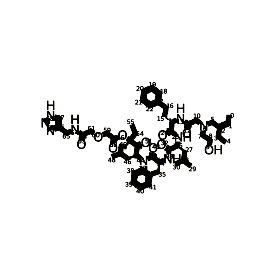 C/C=C(/CC)CN(CCO)CC(=O)N[C@@H](CCc1ccccc1)C(=O)N[C@@H](CC(C)C)C(=O)N[C@@H](Cc1ccccc1)C(=O)N[C@@H](CC(C)C)C(=O)[C@@](C)(CC)OC(=O)COCC(=O)NCc1c[nH]nn1